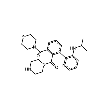 CC(C)Nc1cccnc1-c1cccc(C(=O)N2CCSCC2)c1C(=O)N1CCNCC1